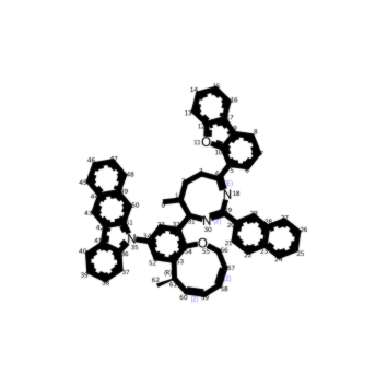 CC1CC/C(c2cccc3c2oc2ccccc23)=N\C(c2ccc3ccccc3c2)=N/C1c1cc(-n2c3ccccc3c3cc4ccccc4cc32)cc2c1OC/C=C\C=C/[C@H]2C